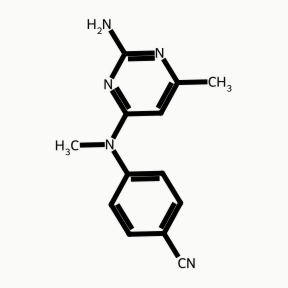 Cc1cc(N(C)c2ccc(C#N)cc2)nc(N)n1